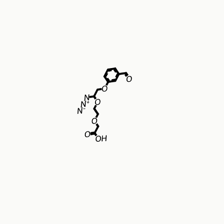 [N-]=[N+]=NC(COc1cccc(C=O)c1)OCCOCC(=O)O